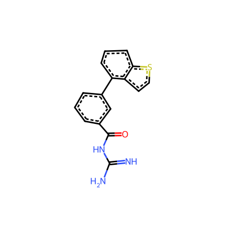 N=C(N)NC(=O)c1cccc(-c2cccc3sccc23)c1